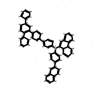 C1=CC2C(N(c3ccc(-c4ccc(-c5cc(-c6ccccc6)ccc5-c5ccccc5)cc4)cc3)c3ccc(-c4ccc5ccccc5c4)cc3)=Cc3ccccc3C2C=C1